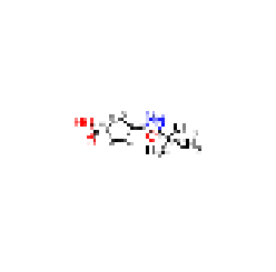 CC(C)(C)c1nnc(C2CCC(C(=O)O)CC2)o1